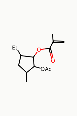 C=C(C)C(=O)OC1C(CC)CC(C)C1OC(C)=O